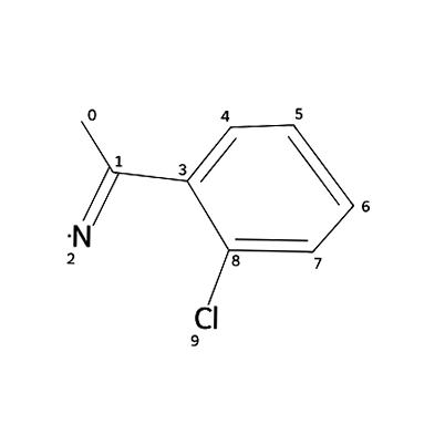 CC(=[N])c1ccccc1Cl